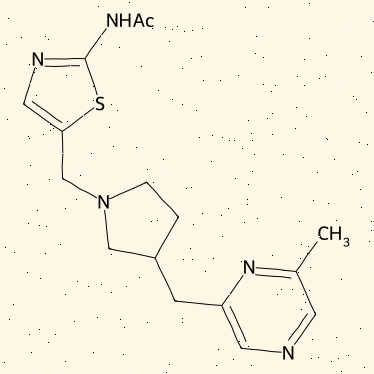 CC(=O)Nc1ncc(CN2CCC(Cc3cncc(C)n3)C2)s1